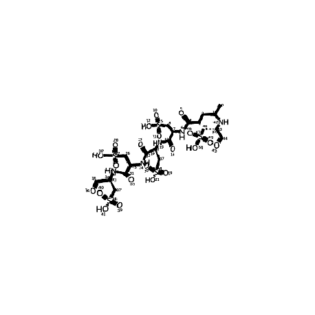 CC(CCC(=O)NC(CS(=O)(=O)O)C(=O)N[C@@H](CS(=O)(=O)O)C(=O)NC(CS(=O)(=O)O)C(=O)N[C@H](C=O)CS(=O)(=O)O)N[C@H](C=O)CS(=O)(=O)O